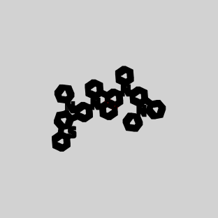 c1ccc(N(c2cccc(-c3ccccc3N(c3ccccc3)c3ccc4c5c6sc7ccccc7c6ccc5n(-c5ccccc5)c4c3)c2)c2ccc3c4ccccc4n(-c4ccccc4)c3c2)cc1